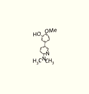 COc1ccc(-c2ccc(N(C)C)nc2)cc1O